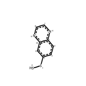 SSc1ccc2nccnc2c1